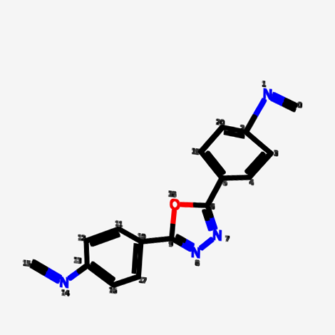 C=Nc1ccc(-c2nnc(-c3ccc(N=C)cc3)o2)cc1